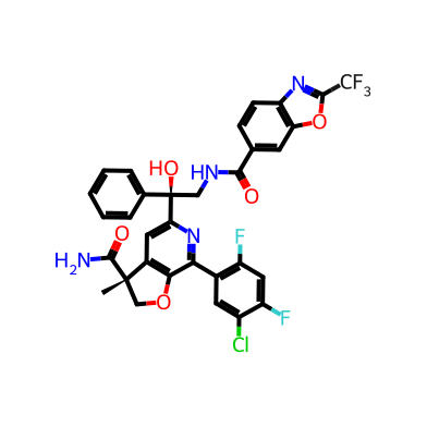 C[C@]1(C(N)=O)COc2c1cc([C@@](O)(CNC(=O)c1ccc3nc(C(F)(F)F)oc3c1)c1ccccc1)nc2-c1cc(Cl)c(F)cc1F